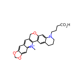 C[n+]1c2c(cc3cc4c(cc31)OCO4)COc1cc3c(cc1-2)CCCN3CCCC(=O)O